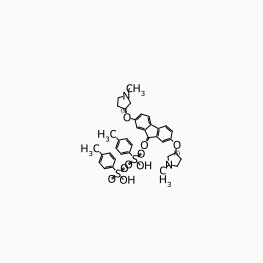 CN1CC[C@H](Oc2ccc3c(c2)C(=O)c2cc(O[C@H]4CCN(C)C4)ccc2-3)C1.Cc1ccc(S(=O)(=O)O)cc1.Cc1ccc(S(=O)(=O)O)cc1